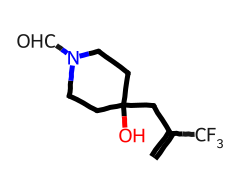 C=C(CC1(O)CCN(C=O)CC1)C(F)(F)F